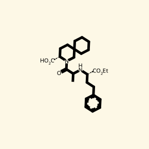 CCOC(=O)[C@H](CCc1ccccc1)NC(C)C(=O)N1CC2(CCCCC2)CC[C@H]1C(=O)O